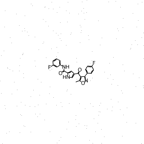 Cc1onc(-c2ccc(F)cc2)c1C(=O)c1c[nH]c(C(=O)Nc2cccc(F)c2)c1